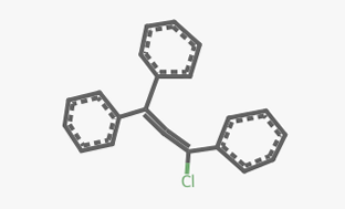 ClC(=C=C(c1ccccc1)c1ccccc1)c1ccccc1